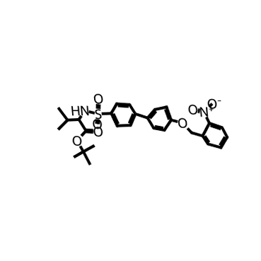 CC(C)C(NS(=O)(=O)c1ccc(-c2ccc(OCc3ccccc3[N+](=O)[O-])cc2)cc1)C(=O)OC(C)(C)C